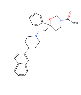 CC(C)(C)C(=O)N1CCC(CCN2CCC(c3ccc4ccccc4c3)CC2)(c2ccccc2)OC1